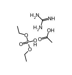 CC(=O)O.CCOP(=O)(O)OCC.N=C(N)N